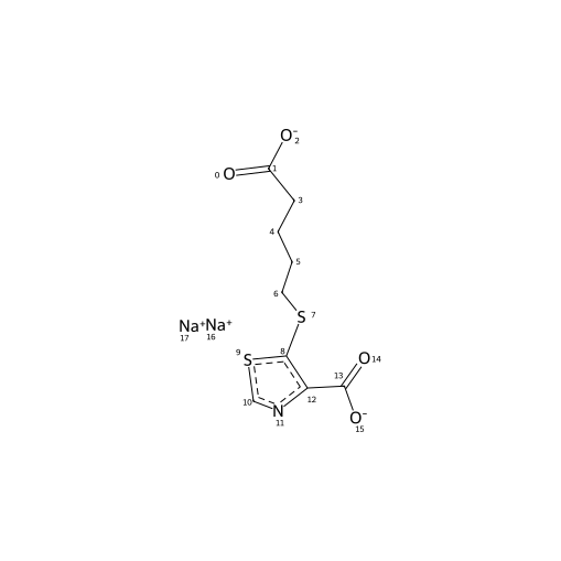 O=C([O-])CCCCSc1scnc1C(=O)[O-].[Na+].[Na+]